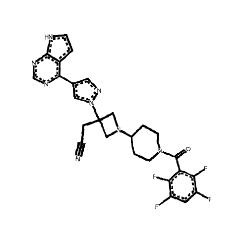 N#CCC1(n2cc(-c3ncnc4[nH]ccc34)cn2)CN(C2CCN(C(=O)c3c(F)c(F)cc(F)c3F)CC2)C1